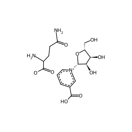 NC(=O)CCC(N)C(=O)[O-].O=C(O)c1ccc[n+]([C@@H]2O[C@H](CO)[C@@H](O)[C@H]2O)c1